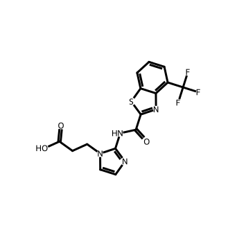 O=C(O)CCn1ccnc1NC(=O)c1nc2c(C(F)(F)F)cccc2s1